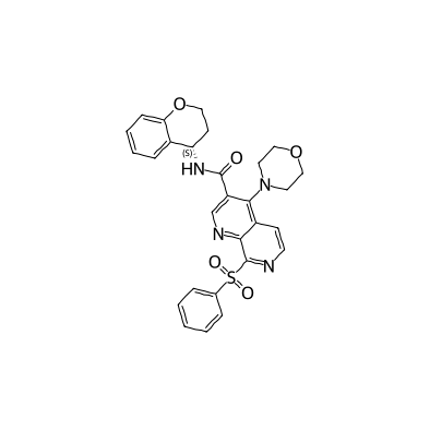 O=C(N[C@H]1CCOc2ccccc21)c1cnc2c(S(=O)(=O)c3ccccc3)nccc2c1N1CCOCC1